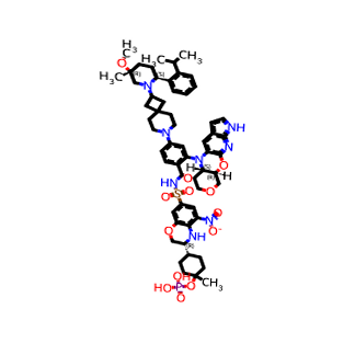 CO[C@]1(C)CC[C@@H](c2ccccc2C(C)C)N(C2CC3(CCN(c4ccc(C(=O)NS(=O)(=O)c5cc6c(c([N+](=O)[O-])c5)N[C@H](C5CCC(C)(OP(=O)(O)O)CC5)CO6)c(N5c6cc7cc[nH]c7nc6O[C@H]6COCC[C@@H]65)c4)CC3)C2)C1